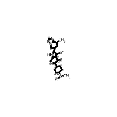 Cc1cc(-c2[nH]c3cnc(C4CCC(N(C)C(C)C)CC4)c(F)c3c2C(C)C)cn2ncnc12